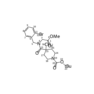 COC(=O)CN(Cc1ccccc1Br)C(=O)C1(C)CCN(C(=O)OC(C)(C)C)CC1